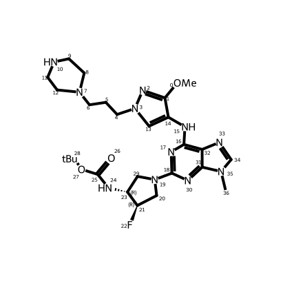 COc1nn(CCCN2CCNCC2)cc1Nc1nc(N2C[C@@H](F)[C@H](NC(=O)OC(C)(C)C)C2)nc2c1ncn2C